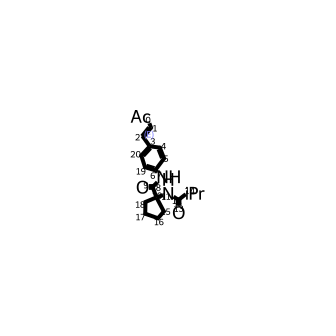 CC(=O)/C=C/c1ccc(NC(=O)C2(NC(=O)C(C)C)CCCC2)cc1